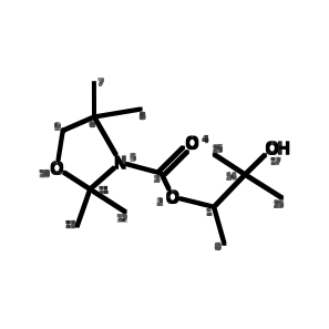 CC(OC(=O)N1C(C)(C)COC1(C)C)C(C)(C)O